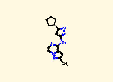 Cc1cc2c(Nc3cc([C@H]4C[CH]CC4)[nH]n3)nccn2n1